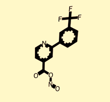 O=NOC(=O)c1ccnc(-c2cccc(C(F)(F)F)c2)c1